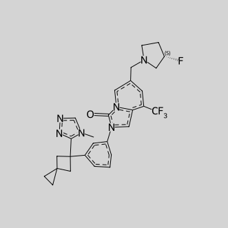 Cn1cnnc1C1(c2cccc(-n3cc4c(C(F)(F)F)cc(CN5CC[C@H](F)C5)cn4c3=O)c2)CC2(CC2)C1